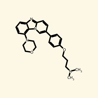 CN(C)CCCOc1ccc(-c2ccc3nc4cccc(N5CCOCC5)c4n3c2)cc1